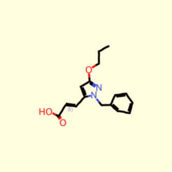 CCCOc1cc(/C=C/C(=O)O)n(Cc2ccccc2)n1